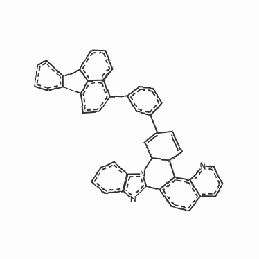 C1=CC2c3c(ccc4cccnc34)-c3nc4ccccc4n3C2C=C1c1cccc(-c2ccc3c4c(cccc24)-c2ccccc2-3)c1